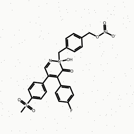 CS(=O)(=O)c1ccc(C2=C(c3ccc(F)cc3)C(=O)[N+](O)(Cc3ccc(CO[N+](=O)[O-])cc3)N=C2)cc1